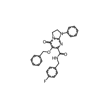 O=C(NCc1ccc(F)cc1)c1nc2n(c(=O)c1OCc1ccccc1)CCN2c1ccccc1